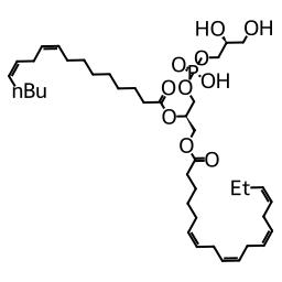 CC/C=C\C/C=C\C/C=C\C/C=C\CCCCC(=O)OC[C@H](COP(=O)(O)OC[C@@H](O)CO)OC(=O)CCCCCCC/C=C\C/C=C\CCCC